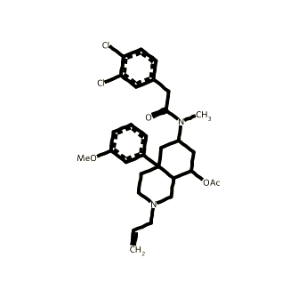 C=CCN1CCC2(c3cccc(OC)c3)CC(N(C)C(=O)Cc3ccc(Cl)c(Cl)c3)CC(OC(C)=O)C2C1